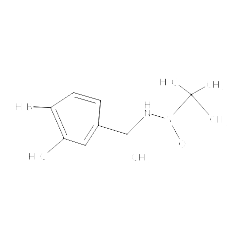 Bc1ccc([C@@H](C)N[S+]([O-])C(C)(C)C)cc1C